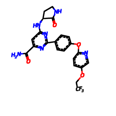 NC(=O)c1cc(N[C@H]2CCNC2=O)nc(-c2ccc(Oc3ccc(OCC(F)(F)F)cn3)cc2)n1